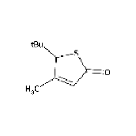 CC1=CC(=O)SC1C(C)(C)C